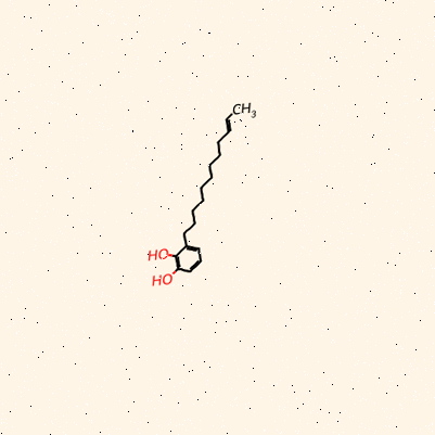 C/C=C/CCCCCCCCCc1cccc(O)c1O